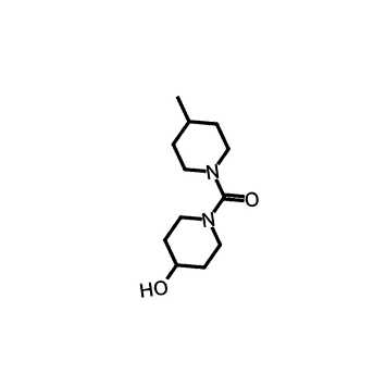 CC1CCN(C(=O)N2CCC(O)CC2)CC1